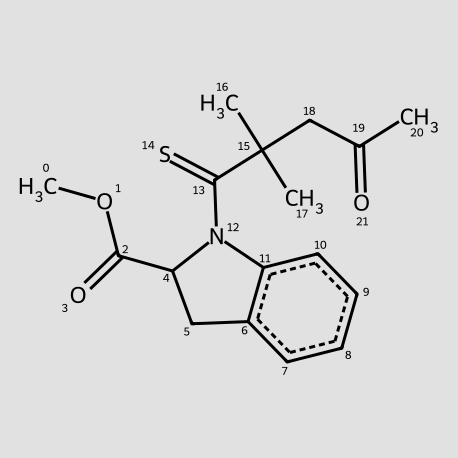 COC(=O)C1Cc2ccccc2N1C(=S)C(C)(C)CC(C)=O